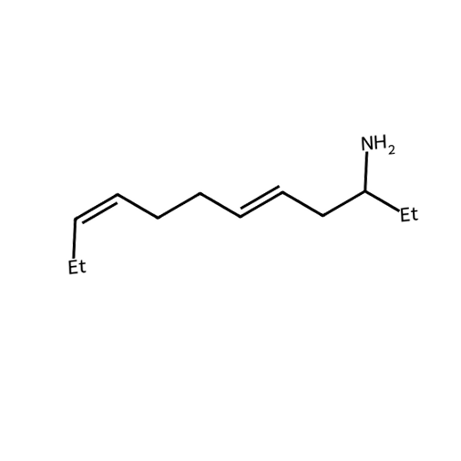 CC/C=C\CCC=CCC(N)CC